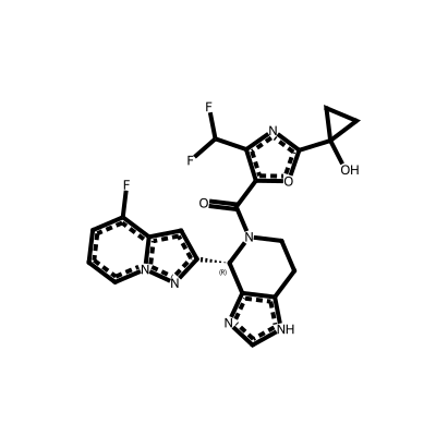 O=C(c1oc(C2(O)CC2)nc1C(F)F)N1CCc2[nH]cnc2[C@@H]1c1cc2c(F)cccn2n1